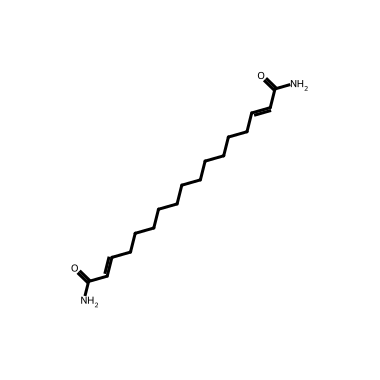 NC(=O)C=CCCCCCCCCCCCC=CC(N)=O